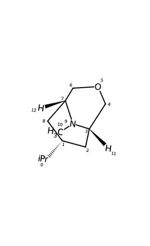 CC(C)[C@H]1C[C@H]2COC[C@@H](C1)N2C